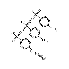 Cc1ccc(S(=O)(=O)[O-])cc1.Cc1ccc(S(=O)(=O)[O-])cc1.Cc1ccc(S(=O)(=O)[O-])cc1.[Na+].[Na+].[Na+]